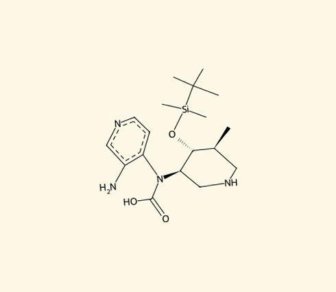 C[C@H]1CNC[C@@H](N(C(=O)O)c2ccncc2N)[C@@H]1O[Si](C)(C)C(C)(C)C